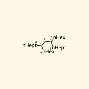 CCCCCCCC([CH]C(CCCCCC)CCCCCCC)CCCCCC